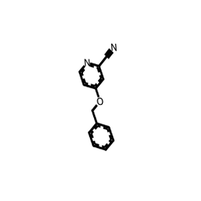 N#Cc1cc(OCc2ccccc2)ccn1